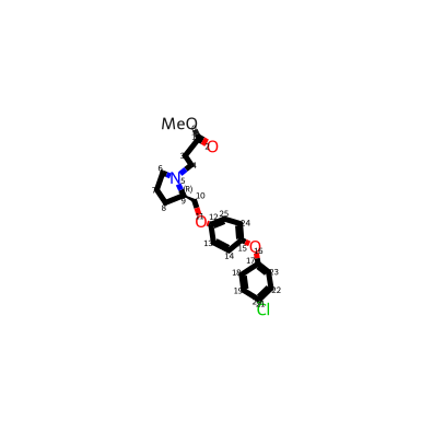 COC(=O)CCN1CCC[C@@H]1COc1ccc(Oc2ccc(Cl)cc2)cc1